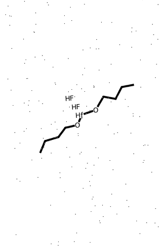 CCCC[O][Hf][O]CCCC.F.F